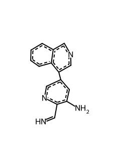 N=Cc1ncc(-c2cncc3ccccc23)cc1N